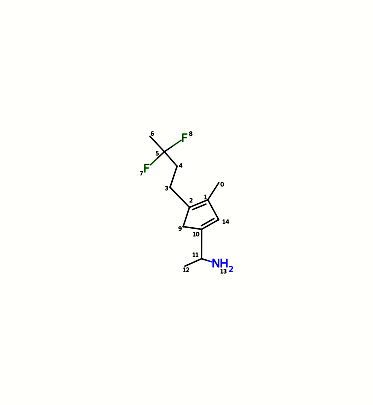 CC1=C(CCC(C)(F)F)CC(C(C)N)=C1